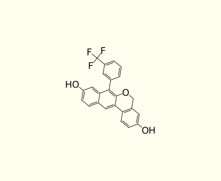 Oc1ccc2c(c1)COc1c-2cc2ccc(O)cc2c1-c1cccc(C(F)(F)F)c1